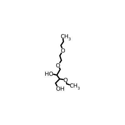 CCCOCCOCC(O)C(CO)OCC